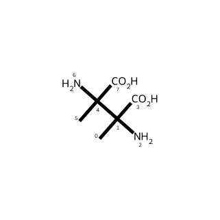 CC(N)(C(=O)O)C(C)(N)C(=O)O